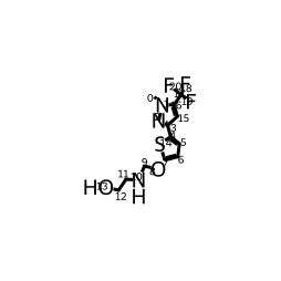 Cn1nc(-c2ccc(OCNCCO)s2)cc1C(F)(F)F